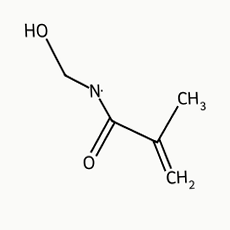 C=C(C)C(=O)[N]CO